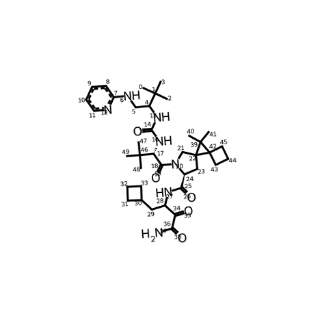 CC(C)(C)C(CNc1ccccn1)NC(=O)N[C@H](C(=O)N1CC2(C[C@H]1C(=O)NC(CC1CCC1)C(=O)C(N)=O)C(C)(C)C21CCC1)C(C)(C)C